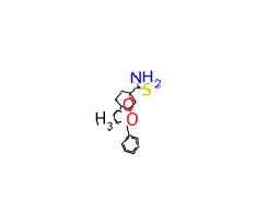 CC12CCC(C(N)=S)(CC1OCc1ccccc1)O2